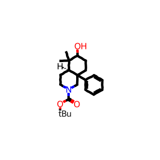 CC(C)(C)OC(=O)N1CC[C@@H]2C(c3ccccc3)(CCC(O)C2(C)C)C1